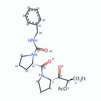 CCOC(=O)[C@@H](OC(C)=O)C(=O)[C@@H]1CCCN1C(=O)[C@@H]1CCCN1C(=O)NCc1ccccc1